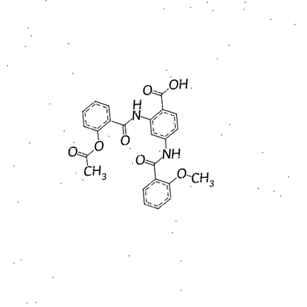 COc1ccccc1C(=O)Nc1ccc(C(=O)O)c(NC(=O)c2ccccc2OC(C)=O)c1